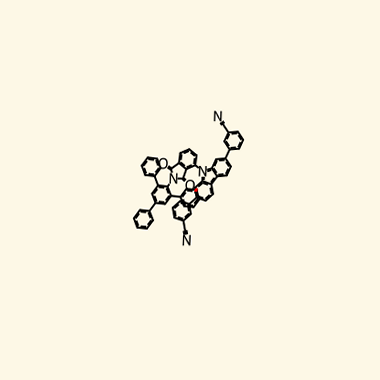 N#Cc1cccc(-c2ccc3c4ccc(-c5cccc(C#N)c5)cc4n(-c4cccc5c4C(=O)N(c4c(-c6ccccc6)cc(-c6ccccc6)cc4-c4ccccc4)C5=O)c3c2)c1